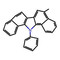 Cc1cc2c3ccc4ccccc4c3n(-c3ccccc3)c2c2ccccc12